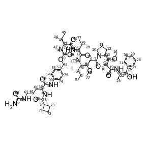 CC[C@H](C)[C@@H]([C@@H](CC(=O)N1CCC[C@H]1[C@H](OC)[C@@H](C)C(=O)N[C@H](C)[C@@H](O)c1ccccc1)OC)N(C)C(=O)[C@@H](NC(=O)[C@H](C(C)C)N(C)C(=O)OCc1ccc(NC(=O)[C@H](CCCNC(N)=O)NC(=O)C2CCC2)cc1)C(C)C